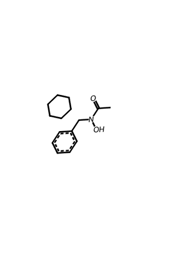 C1CCCCC1.CC(=O)N(O)Cc1ccccc1